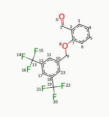 O=Cc1ccccc1OCc1cc(C(F)(F)F)cc(C(F)(F)F)c1